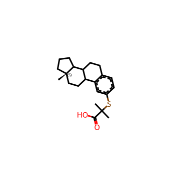 CC(C)(Sc1ccc2c(c1)C1CC[C@]3(C)CCCC3C1CC2)C(=O)O